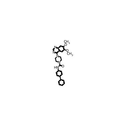 COc1cc2ncnc(N3CCN(C(=O)Nc4ccc(-c5ccccc5)cc4)CC3)c2cc1OC